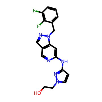 OCCn1ccc(Nc2cc3c(cn2)cnn3Cc2cccc(F)c2F)n1